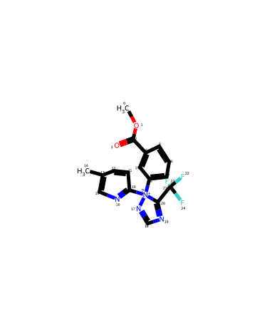 COC(=O)c1cccc([N+]2(c3ccc(C)cn3)N=CN=C2C(F)(F)F)c1